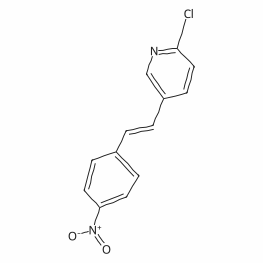 O=[N+]([O-])c1ccc(/C=C/c2ccc(Cl)nc2)cc1